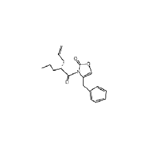 C=CC[C@@H](CCC)C(=O)n1c(Cc2ccccc2)coc1=O